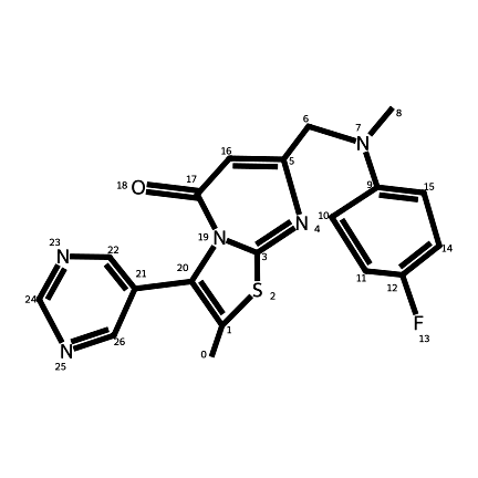 Cc1sc2nc(CN(C)c3ccc(F)cc3)cc(=O)n2c1-c1cncnc1